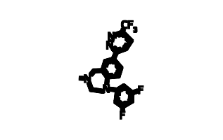 CN1CCN(c2cc(F)cc(F)c2)c2ccc(-c3ccc(C(F)(F)F)nn3)cc2C1